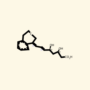 O=C(O)C[C@H](O)C[C@H](O)/C=C/C=C1\CCCCc2ccccc21